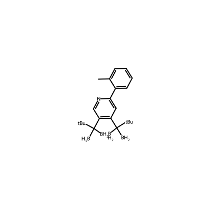 BC(B)(c1cnc(-c2ccccc2C)cc1C(B)(B)C(C)(C)C)C(C)(C)C